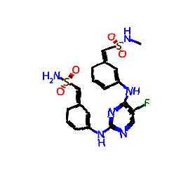 CNS(=O)(=O)C=C1C=C(Nc2nc(NC3=CC(=CS(N)(=O)=O)CC=C3)ncc2F)C=CC1